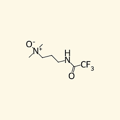 C[N+](C)([O-])CCCNC(=O)C(F)(F)F